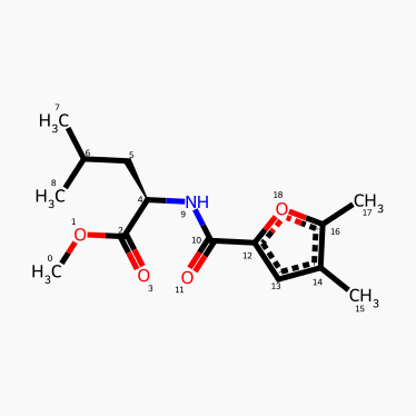 COC(=O)[C@@H](CC(C)C)NC(=O)c1cc(C)c(C)o1